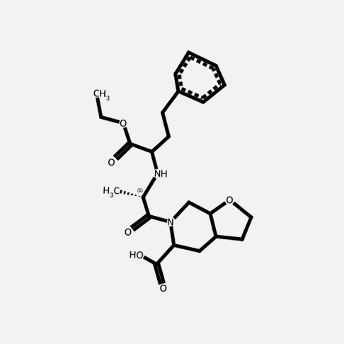 CCOC(=O)C(CCc1ccccc1)N[C@@H](C)C(=O)N1CC2OCCC2CC1C(=O)O